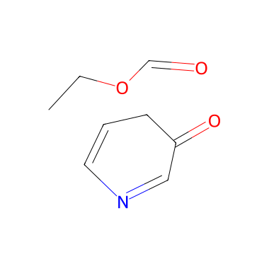 CCOC=O.O=C1C=NC=CC1